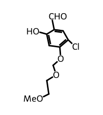 COCCOCOc1cc(O)c(C=O)cc1Cl